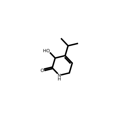 CC(C)C1=CCNC(=O)C1O